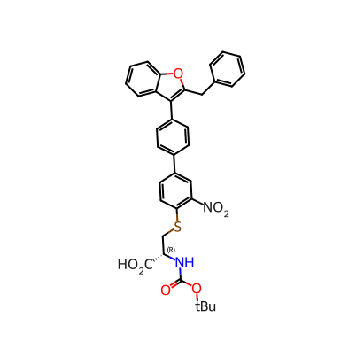 CC(C)(C)OC(=O)N[C@@H](CSc1ccc(-c2ccc(-c3c(Cc4ccccc4)oc4ccccc34)cc2)cc1[N+](=O)[O-])C(=O)O